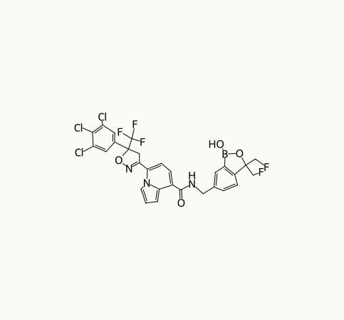 O=C(NCc1ccc2c(c1)B(O)OC2(CF)CF)c1ccc(C2=NOC(c3cc(Cl)c(Cl)c(Cl)c3)(C(F)(F)F)C2)n2cccc12